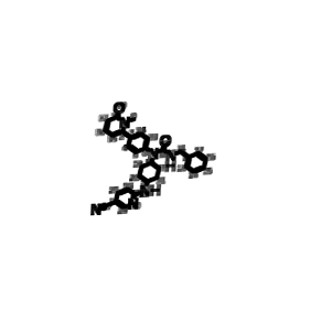 Cn1c(-c2ccc(N(C(=O)NCc3ccccc3)C3CCC(Nc4ccc(C#N)cn4)CC3)cc2)cccc1=O